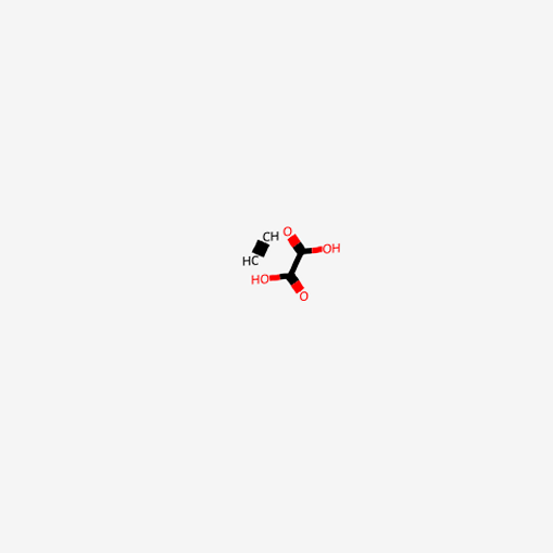 C#C.O=C(O)C(=O)O